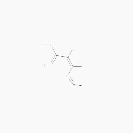 C=C(NC)/C(C)=C(C)\N=C/C